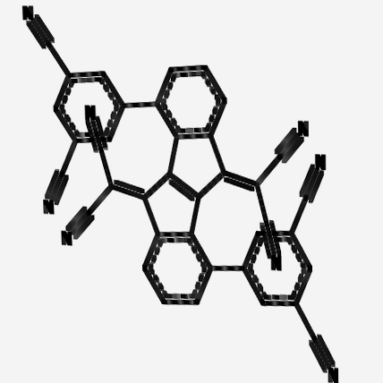 N#CC(C#N)=C1C2=C(C(=C(C#N)C#N)c3cccc(-c4cc(C#N)cc(C#N)c4)c32)c2c1cccc2-c1cc(C#N)cc(C#N)c1